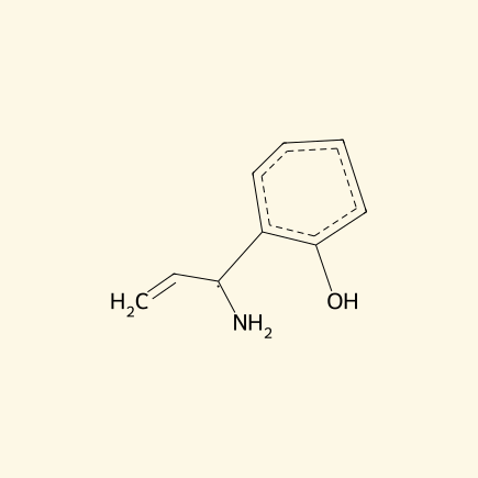 C=C[C](N)c1ccccc1O